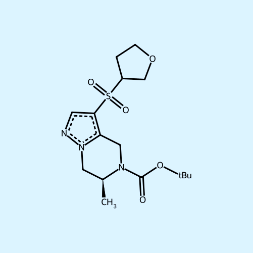 C[C@H]1Cn2ncc(S(=O)(=O)C3CCOC3)c2CN1C(=O)OC(C)(C)C